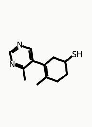 CC1=C(c2cncnc2C)CC(S)CC1